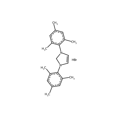 Br.Cc1cc(C)c(N2C=CN(c3c(C)cc(C)cc3C)C2)c(C)c1